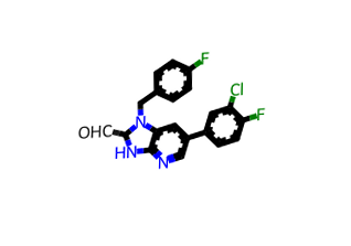 O=CC1Nc2ncc(-c3ccc(F)c(Cl)c3)cc2N1Cc1ccc(F)cc1